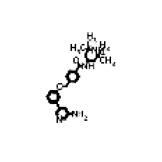 CC1(C)CC(NC(=O)c2ccc(COc3cccc(-c4cncc(N)c4)c3)cc2)CC(C)(C)N1